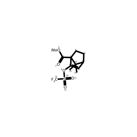 COC(=O)C12CCC(C=C1OS(=O)(=O)C(F)(F)F)C2(C)C